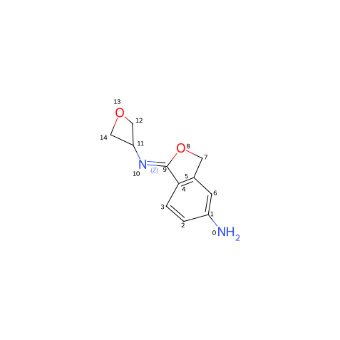 Nc1ccc2c(c1)CO/C2=N\C1COC1